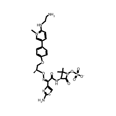 C[C@@H](COc1ccc(-c2ccc(NCCN)[n+](C)c2)cc1)O/N=C(\C(=O)N[C@@H]1C(=O)N(OS(=O)(=O)[O-])C1(C)C)c1csc(N)n1